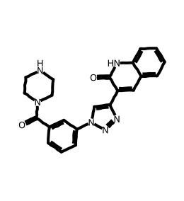 O=C(c1cccc(-n2cc(-c3cc4ccccc4[nH]c3=O)nn2)c1)N1CCNCC1